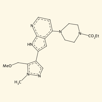 CCOC(=O)N1CCN(c2ccnc3[nH]c(-c4cnn(C)c4COC)cc23)CC1